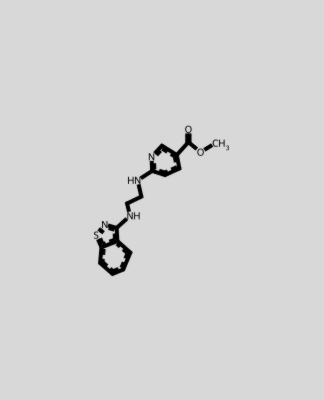 COC(=O)c1ccc(NCCNc2nsc3ccccc23)nc1